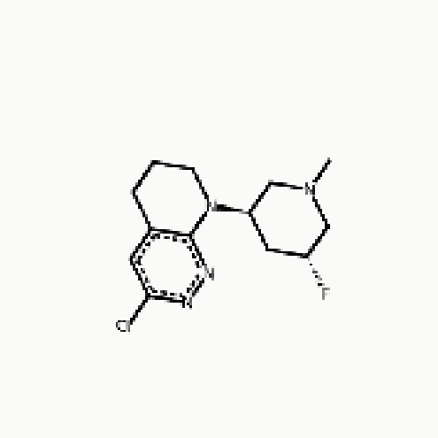 CN1C[C@H](F)C[C@@H](N2CCCc3cc(Cl)nnc32)C1